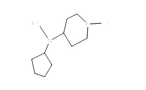 CN1CCC(N(C)C2CCCC2)CC1